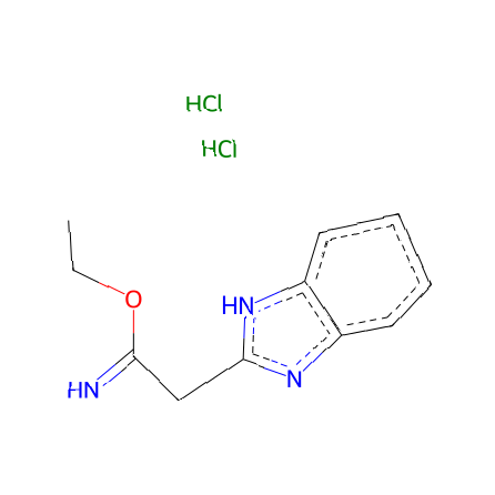 CCOC(=N)Cc1nc2ccccc2[nH]1.Cl.Cl